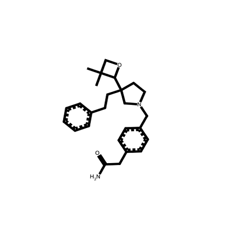 CC1(C)COC1C1(CCc2ccccc2)CCN(Cc2ccc(CC(N)=O)cc2)C1